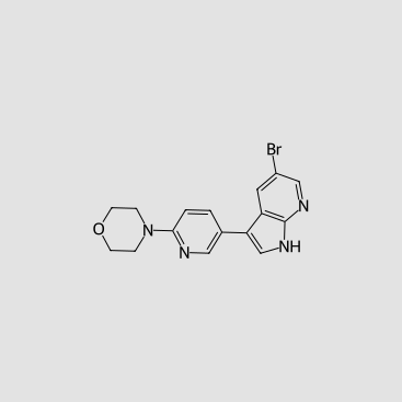 Brc1cnc2[nH]cc(-c3ccc(N4CCOCC4)nc3)c2c1